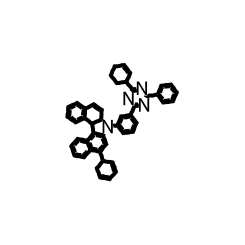 C1=CCC(c2cc3c(c4ccccc24)C2c4ccccc4C=CC2N3c2cccc(-c3nc(-c4ccccc4)nc(C4C=CCCC4)n3)c2)C=C1